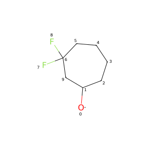 [O]C1CCCCC(F)(F)C1